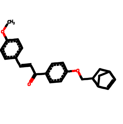 COc1ccc(/C=C/C(=O)c2ccc(OCC3CC4C=CC3C4)cc2)cc1